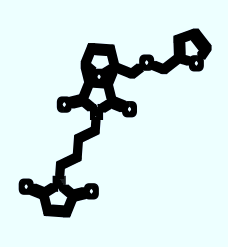 O=C1C=CC(=O)N1CCCCN1C(=O)C2C3C=CC(COCc4ccco4)(O3)C2C1=O